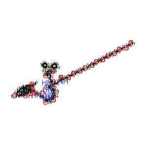 CCC(=O)O[C@]1(C(=O)COCNC(=O)CNC(=O)[C@H](C)NC(=O)[C@H](C)NC(=O)[C@H](C)NC(=O)[C@H](CCCCNC(=O)CCOCCOCCOCCOCCOCCOCCOCCOCCOCCOCCOCCOC)NC(=O)CCN2C(=O)C(Sc3ccccc3)=C(Sc3ccccc3)C2=O)[C@@H](C)CC2[C@@H]3CCC4=CC(=O)C=C[C@]4(C)[C@@]3(Cl)[C@@H](O)C[C@@]21C